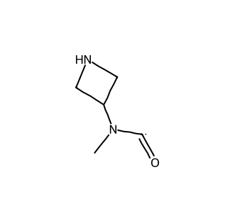 CN([C]=O)C1CNC1